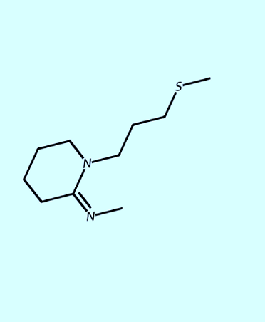 C/N=C1/CCCCN1CCCSC